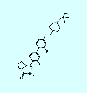 CC1(CN2CCC(COc3ccc(-c4ccc(C(=O)N5CCC[C@H]5C(N)=O)c(F)c4)c(F)c3)CC2)CCC1